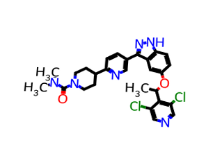 CC(Oc1ccc2[nH]nc(-c3ccc(C4CCN(C(=O)N(C)C)CC4)nc3)c2c1)c1c(Cl)cncc1Cl